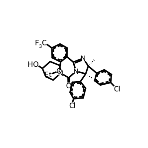 CCOc1cc(C(F)(F)F)ccc1C1=N[C@@](C)(c2ccc(Cl)cc2)[C@@](C)(c2ccc(Cl)cc2)N1C(=O)N1CCC(O)CC1